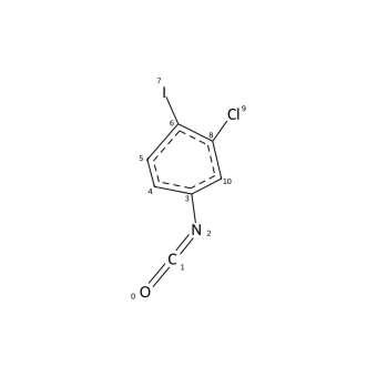 O=C=Nc1ccc(I)c(Cl)c1